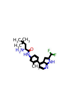 Cc1cc(NC(=O)[C@H](N)CC(C)(C)C)ccc1-c1ccnc2[nH]c(C(F)F)cc12